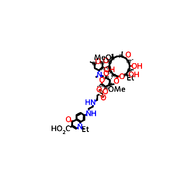 CC[C@H]1OC(=O)[C@H](C)[C@@H](O[C@H]2C[C@@](C)(OC)[C@@H](OS(=O)(=O)CCNCCNc3ccc4c(=O)c(C(=O)O)cn(CC)c4c3)[C@H](C)O2)[C@H](C)[C@@H](O[C@@H]2O[C@H](C)CC(N(C)C)[C@H]2O)[C@](C)(OC)C[C@@H](C)C(=O)[C@H](C)C(O)[C@]1(C)O